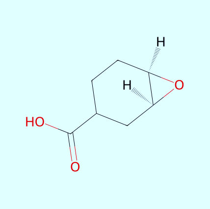 O=C(O)C1CC[C@H]2O[C@H]2C1